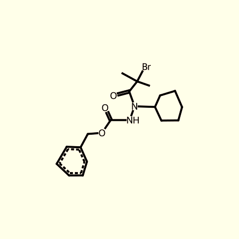 CC(C)(Br)C(=O)N(NC(=O)OCc1ccccc1)C1CCCCC1